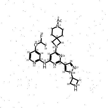 CC(=O)N1CCC2(CC1)CN(c1cc(Nc3cc(OC(F)F)ccn3)nc(-c3cnn(C4CNC4)c3)n1)C2